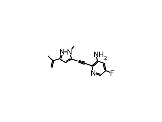 C=C(C)c1cc(C#Cc2ncc(F)cc2N)n(C)n1